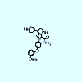 COc1cccc(Oc2ccc(-n3nc4c(c3C(N)=O)NCCC4C3CCNCC3)cc2)c1